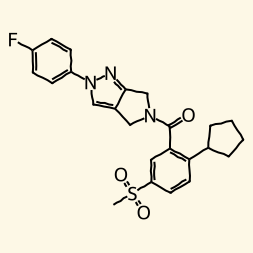 CS(=O)(=O)c1ccc(C2CCCC2)c(C(=O)N2Cc3cn(-c4ccc(F)cc4)nc3C2)c1